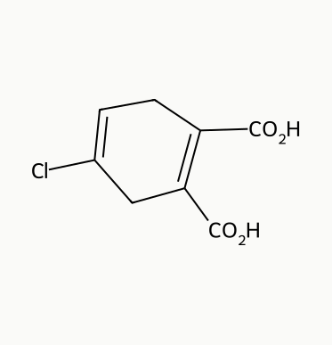 O=C(O)C1=C(C(=O)O)CC(Cl)=CC1